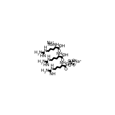 N=C(N)NCCC[C@H](N)C(=O)O.N=C(N)NCCC[C@H](N)C(=O)O.N=C(N)NCCC[C@H](N)C(=O)O.O=P([O-])([O-])[O-].[Na+].[Na+].[Na+]